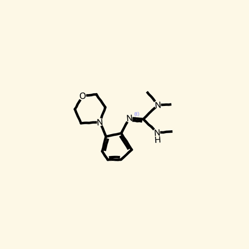 CN/C(=N\c1ccccc1N1CCOCC1)N(C)C